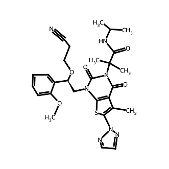 COc1ccccc1[C@H](Cn1c(=O)n(C(C)(C)C(=O)NC(C)C)c(=O)c2c(C)c(-n3nccn3)sc21)OCCC#N